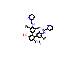 Cc1ccc(O)c(-c2cc(C(C)C)c(N=Cc3ccccn3)c(C(C)C)c2)c1-c1cc(C(C)C)c(N=Cc2ccccn2)c(C(C)C)c1